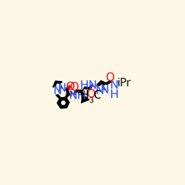 CC(C)NC(=O)c1cc(NC(=O)C[C@H](C(=O)N[C@@H]2C(=O)N3CCCN3Cc3ccccc32)C2CC2)n(C)n1